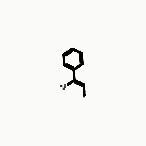 FC=C(c1ccccc1)C(F)(F)F